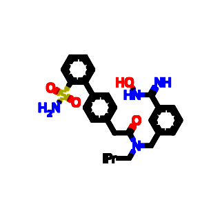 CC(C)CN(Cc1cccc(C(=N)NO)c1)C(=O)Cc1ccc(-c2ccccc2S(N)(=O)=O)cc1